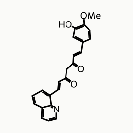 COc1ccc(C=CC(=O)CC(=O)C=Cc2cccc3cccnc23)cc1O